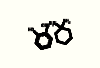 NC1(N)CCCCC1.O=Cc1ccccc1O